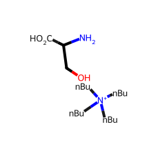 CCCC[N+](CCCC)(CCCC)CCCC.NC(CO)C(=O)O